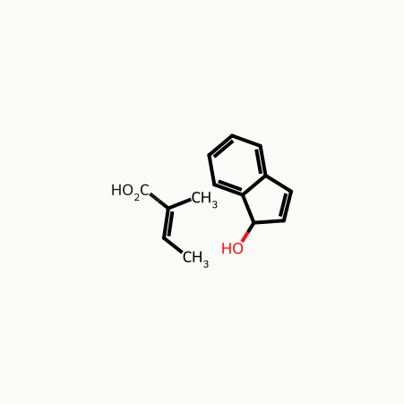 C/C=C(\C)C(=O)O.OC1C=Cc2ccccc21